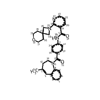 CC1=Cc2ccccc2N(C(=O)c2ccc(NC(=O)c3cccnc3N3CC4(CCOCC4)C3)cc2)CC1